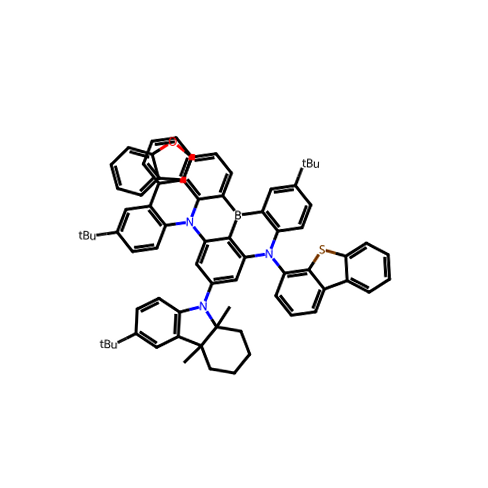 CC(C)(C)c1ccc2c(c1)B1c3ccc4oc5ccccc5c4c3N(c3ccc(C(C)(C)C)cc3-c3ccccc3)c3cc(N4c5ccc(C(C)(C)C)cc5C5(C)CCCCC45C)cc(c31)N2c1cccc2c1sc1ccccc12